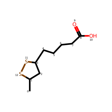 CC1CC(CCCCC(=O)O)SS1